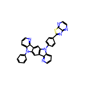 c1ccc(-n2c3cc4c5ncccc5n(-c5ccc(-c6nc7nccnc7s6)cc5)c4cc3c3ncccc32)cc1